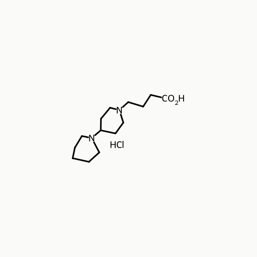 Cl.O=C(O)CCCN1CCC(N2CCCCC2)CC1